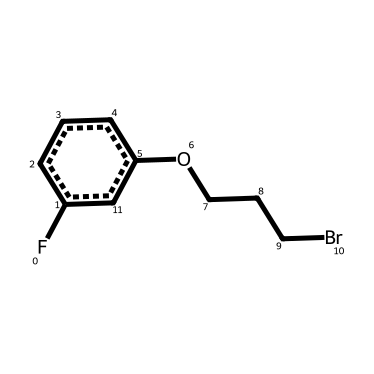 Fc1cccc(OCCCBr)c1